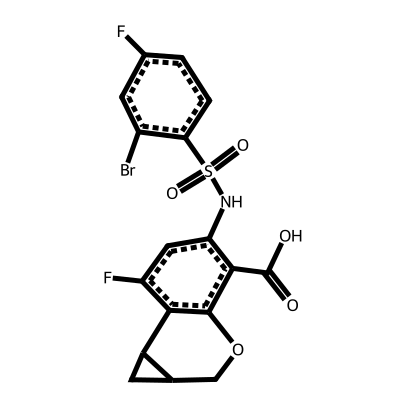 O=C(O)c1c(NS(=O)(=O)c2ccc(F)cc2Br)cc(F)c2c1OCC1CC21